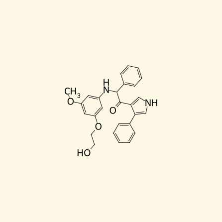 COc1cc(NC(C(=O)c2c[nH]cc2-c2ccccc2)c2ccccc2)cc(OCCO)c1